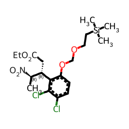 CCOC(=O)C[C@H](c1c(OCOCC[Si](C)(C)C)ccc(Cl)c1Cl)[C@@H](C)[N+](=O)[O-]